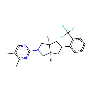 Cc1cnc(N2C[C@H]3C[C@@H](c4ccccc4C(F)(F)F)C[C@H]3C2)nc1C